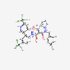 C[C@]12CCCN1N(Cc1ccc(F)cc1)C(=O)C(C(=O)Nc1ccc(C(F)(F)F)cc1-c1ccc(C(F)(F)F)nc1)=C2O